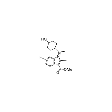 COC(=O)c1c(C)n([C@H](C)C2CCC(O)CC2)c2cc(F)ccc12